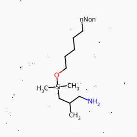 CCCCCCCCCCCCCCO[Si](C)(C)CC(C)CN